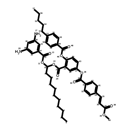 CCCCCCCCCCC(OC(=O)c1cc(N)cc(N)c1)OC(=O)c1cc(OC(=O)c2ccc(C=CC(=O)OC)cc2)ccc1OC(=O)c1ccc(CCCCC)cc1